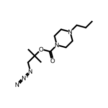 CCCN1CCN(C(=O)OC(C)(C)CN=[N+]=[N-])CC1